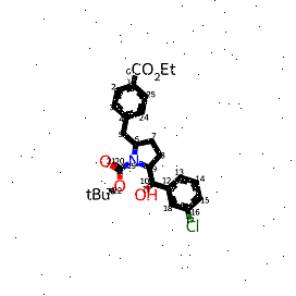 CCOC(=O)c1ccc(CC2CCC(C(O)c3cccc(Cl)c3)N2C(=O)OC(C)(C)C)cc1